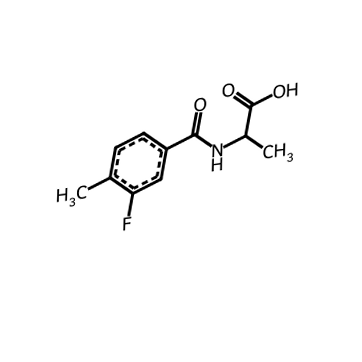 Cc1ccc(C(=O)NC(C)C(=O)O)cc1F